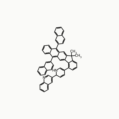 CC1(C)c2cc3c(-c4ccc5ccccc5c4)c4ccccc4c(-c4ccc5ccccc5c4)c3cc2-c2c(C3=CNC(c4cnc5ccccc5c4)C=C3)cccc21